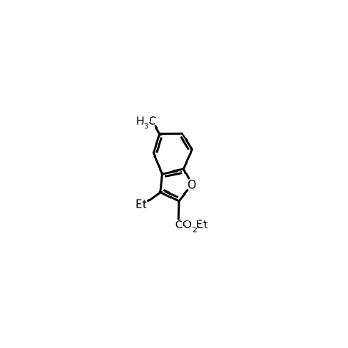 CCOC(=O)c1oc2ccc(C)cc2c1CC